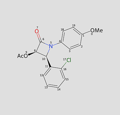 COc1ccc(N2C(=O)[C@H](OC(C)=O)[C@@H]2c2ccccc2Cl)cc1